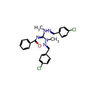 CN(/N=C/c1ccc(Cl)cc1)C(=NC(=O)c1ccccc1)N(C)/N=C/c1ccc(Cl)cc1